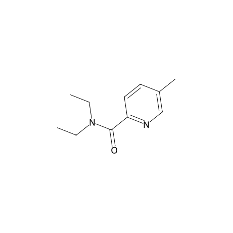 CCN(CC)C(=O)c1ccc(C)cn1